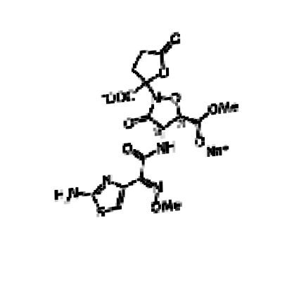 CON=C(C(=O)N[C@@H]1C(=O)N(C2(C(=O)[O-])CCC(=O)O2)O[C@H]1C(=O)OC)c1csc(N)n1.[Na+]